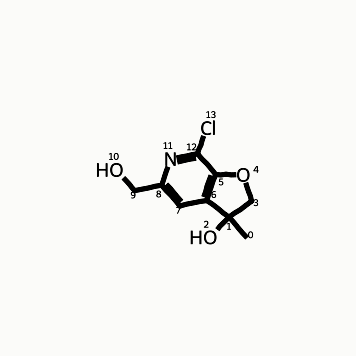 CC1(O)COc2c1cc(CO)nc2Cl